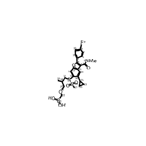 CNC(=O)c1c(-c2ccc(F)cc2)oc2cc(N(CC(C)COCB(O)O)S(C)(=O)=O)c(C3CC3)cc12